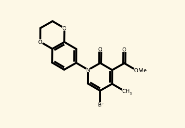 COC(=O)c1c(C)c(Br)cn(-c2ccc3c(c2)OCCO3)c1=O